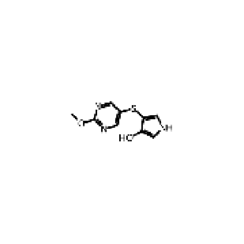 COc1ncc(Sc2c[nH]cc2O)cn1